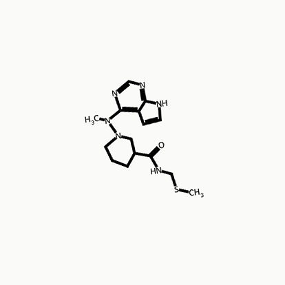 CSCNC(=O)C1CCCN(N(C)c2ncnc3[nH]ccc23)C1